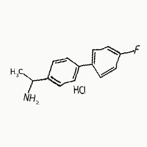 CC(N)c1ccc(-c2ccc(F)cc2)cc1.Cl